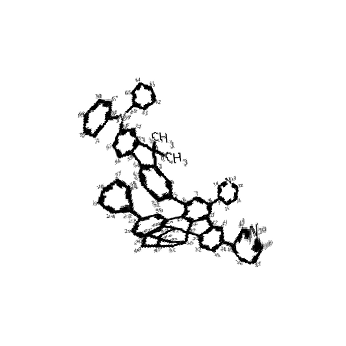 CC1(C)c2cc(-c3cc(-c4cccnc4)c4c(c3-c3cccc(-c5ccccc5)c3)C3(c5ccc(-c6cccnc6)cc5-4)C4CC5CC(C4)CC3C5)ccc2-c2ccc(N(c3ccccc3)c3ccccc3)cc21